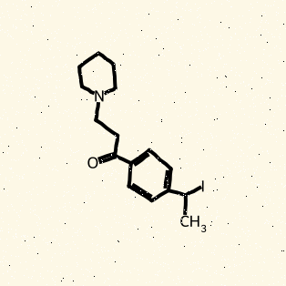 CC(I)c1ccc(C(=O)CCN2CCCCC2)cc1